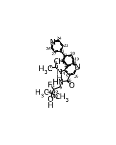 CC(C)Nc1c(C(=O)NCC(F)C(C)(C)O)cnc2ccc(-c3ccncc3)cc12